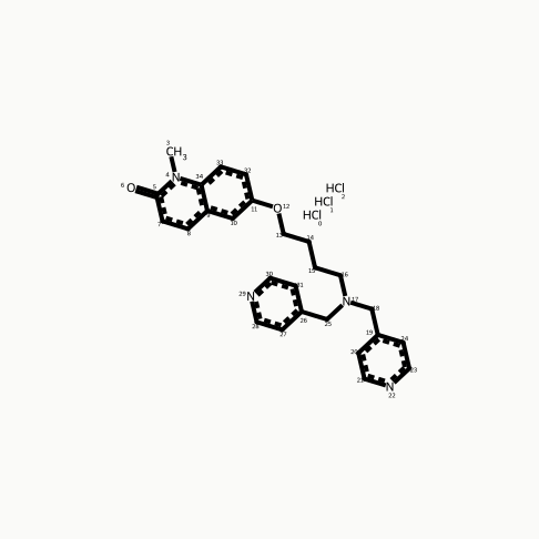 Cl.Cl.Cl.Cn1c(=O)ccc2cc(OCCCCN(Cc3ccncc3)Cc3ccncc3)ccc21